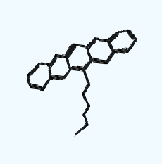 CCCCCCc1c2cc3ccccc3cc2cc2cc3ccccc3cc12